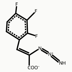 N=[N+]=N/C(=C\c1ccc(F)c(F)c1F)C(=O)[O-]